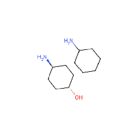 NC1CCCCC1.N[C@H]1CC[C@H](O)CC1